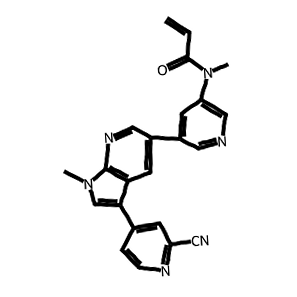 C=CC(=O)N(C)c1cncc(-c2cnc3c(c2)c(-c2ccnc(C#N)c2)cn3C)c1